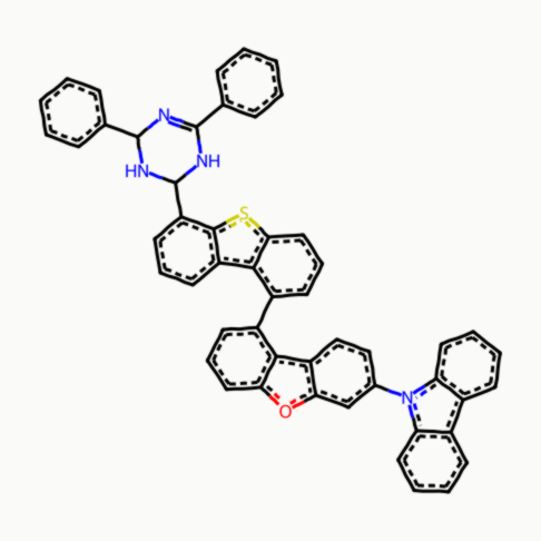 c1ccc(C2=NC(c3ccccc3)NC(c3cccc4c3sc3cccc(-c5cccc6oc7cc(-n8c9ccccc9c9ccccc98)ccc7c56)c34)N2)cc1